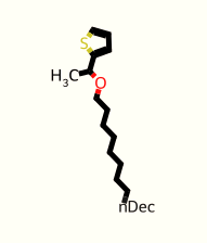 CCCCCCCCCCCCCCCCCCOC(C)c1cccs1